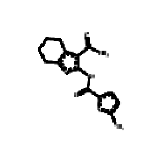 Cc1ccc(C(=O)Nc2sc3c(c2C(N)=O)CCCC3)s1